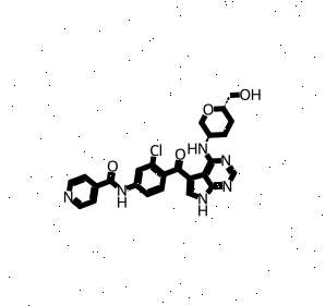 O=C(Nc1ccc(C(=O)c2c[nH]c3ncnc(N[C@H]4CC[C@@H](CO)OC4)c23)c(Cl)c1)c1ccncc1